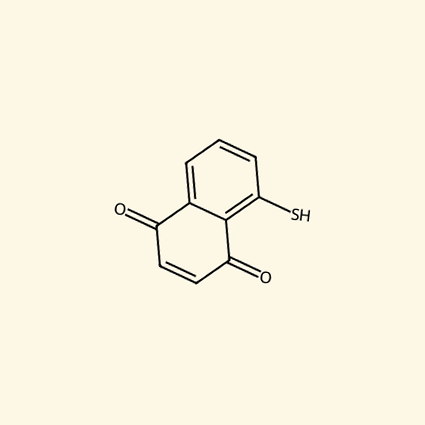 O=C1C=CC(=O)c2c(S)cccc21